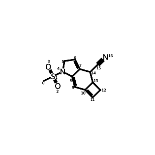 CS(=O)(=O)N1CC=C2C1=CC1=CCC1C2C#N